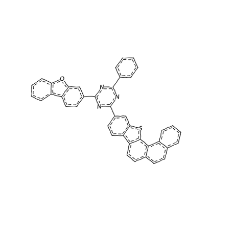 c1ccc(-c2nc(-c3ccc4c(c3)oc3ccccc34)nc(-c3ccc4c(c3)sc3c4ccc4ccc5ccccc5c43)n2)cc1